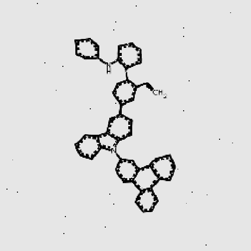 C=Cc1cc(-c2ccc3c(c2)c2ccccc2n3-c2ccc3c4ccccc4c4ccccc4c3c2)ccc1-c1ccccc1Nc1ccccc1